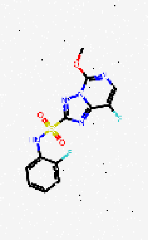 COc1ncc(F)c2nc(S(=O)(=O)Nc3ccccc3F)nn12